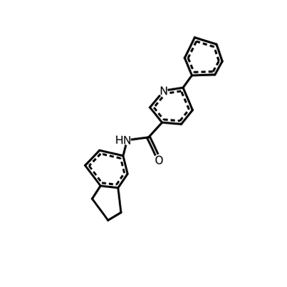 O=C(Nc1ccc2c(c1)CCC2)c1ccc(-c2ccccc2)nc1